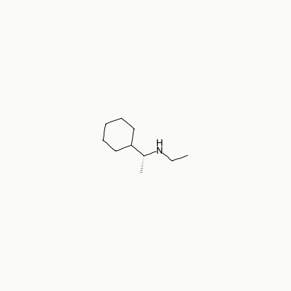 CCN[C@H](C)C1CCCCC1